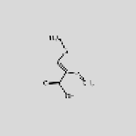 C=N/C(=C\SC)C(=O)O